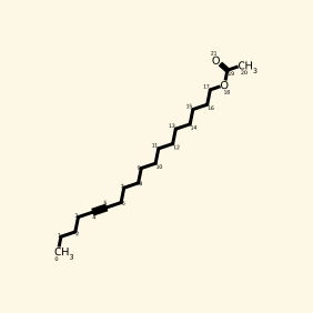 CCCCC#CCCCCCCCCCCCCOC(C)=O